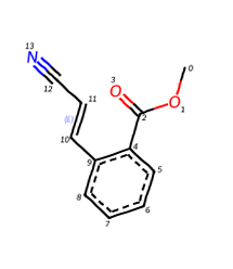 COC(=O)c1ccccc1/C=C/C#N